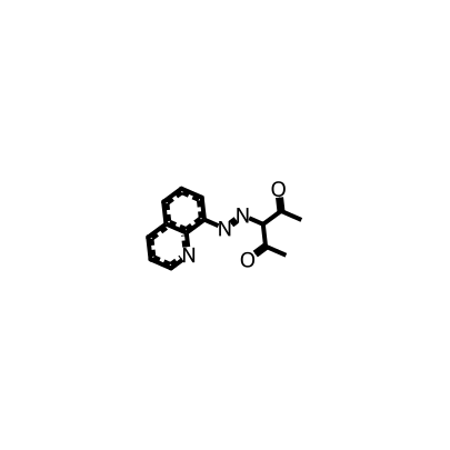 CC(=O)C(N=Nc1cccc2cccnc12)C(C)=O